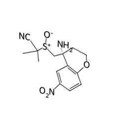 CC(C)(C#N)[S+]([O-])C[C@@]1(N)CCOc2ccc([N+](=O)[O-])cc21